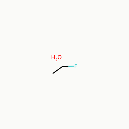 CCF.O